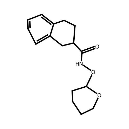 O=C(NOC1CCCCO1)C1CCc2ccccc2C1